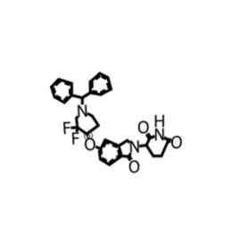 O=C1CCC(N2Cc3cc(O[C@H]4CCN(C(c5ccccc5)c5ccccc5)CC4(F)F)ccc3C2=O)C(=O)N1